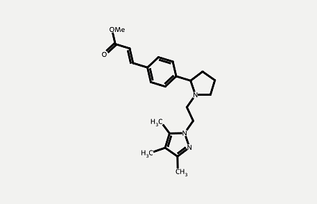 COC(=O)/C=C/c1ccc(C2CCCN2CCn2nc(C)c(C)c2C)cc1